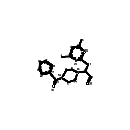 Cc1cc(C)nc(SC(C=O)N2CCN(C(=O)c3ccccc3)CC2)n1